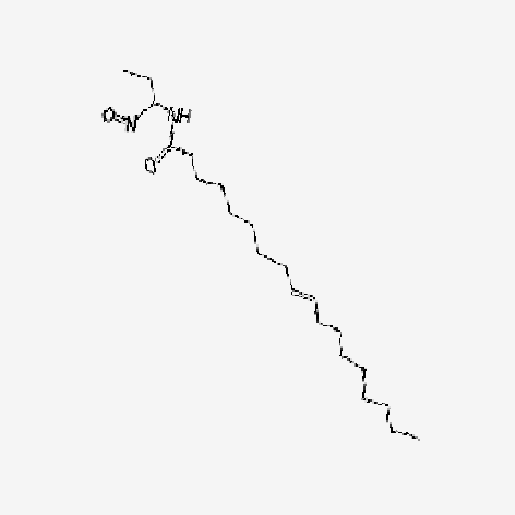 CCCCCCCCC=CCCCCCCCC(=O)NC(CC)N=O